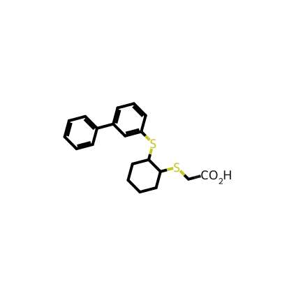 O=C(O)CSC1CCCCC1Sc1cccc(-c2ccccc2)c1